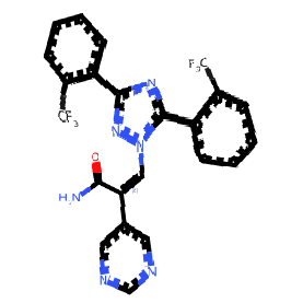 NC(=O)/C(=C\n1nc(-c2ccccc2C(F)(F)F)nc1-c1ccccc1C(F)(F)F)c1cncnc1